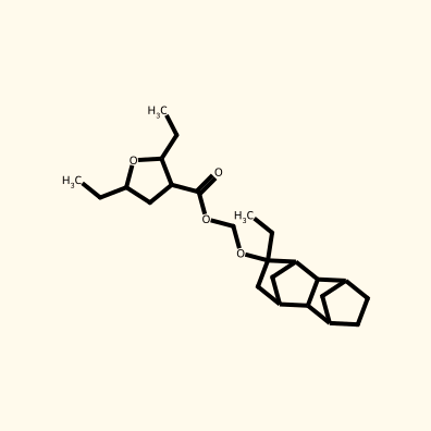 CCC1CC(C(=O)OCOC2(CC)CC3CC2C2C4CCC(C4)C32)C(CC)O1